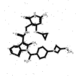 COC1CN(C2CCC(C(C)n3c(C)c(C(=O)NCc4c(SC5CC5)cc(C)[nH]c4=O)c4ccccc43)CC2)C1